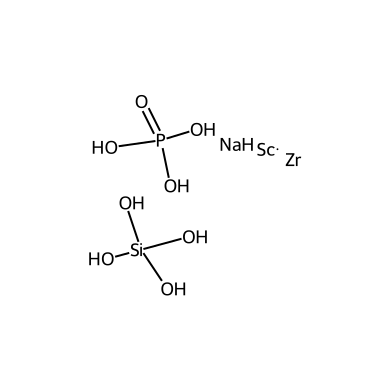 O=P(O)(O)O.O[Si](O)(O)O.[NaH].[Sc].[Zr]